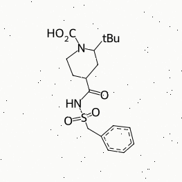 CC(C)(C)C1CC(C(=O)NS(=O)(=O)Cc2ccccc2)CCN1C(=O)O